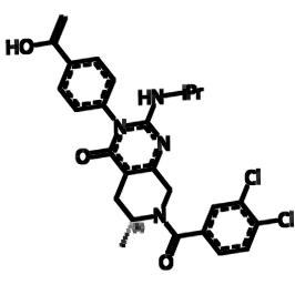 C=C(O)c1ccc(-n2c(NC(C)C)nc3c(c2=O)C[C@@H](C)N(C(=O)c2ccc(Cl)c(Cl)c2)C3)cc1